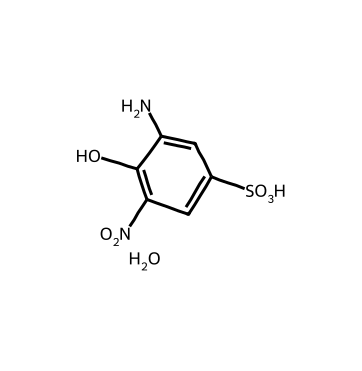 Nc1cc(S(=O)(=O)O)cc([N+](=O)[O-])c1O.O